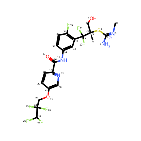 C/N=C(/N)S[C@@](C)(CO)C(F)(F)c1cc(NC(=O)c2ccc(OCC(F)(F)C(F)F)cn2)ccc1F